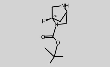 CC(C)(C)OC(=O)N1CC2C[C@H]1CN2